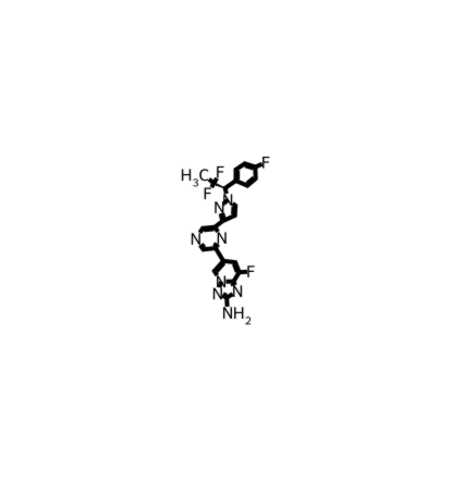 CC(F)(F)[C@@H](c1ccc(F)cc1)n1ccc(-c2cncc(-c3cc(F)c4nc(N)nn4c3)n2)n1